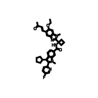 CCOc1cc2c(cc1/C=C/C(C)=O)nc(C1(NC(=O)c3ccc4c(C5CCCC5)c(-c5ccc(F)cn5)n(C)c4c3)CCC1)n2C